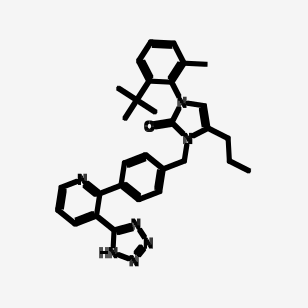 CCCc1cn(-c2c(C)cccc2C(C)(C)C)c(=O)n1Cc1ccc(-c2ncccc2-c2nnn[nH]2)cc1